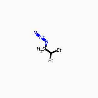 CCC(CC)[SiH2]N=[N+]=[N-]